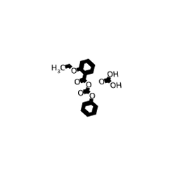 CCOc1ccccc1C(=O)OC(=O)Oc1ccccc1.O=C(O)O